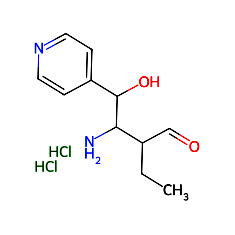 CCC(C=O)C(N)C(O)c1ccncc1.Cl.Cl